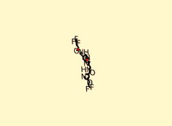 O=C(CCC(F)(F)F)NCc1cnn2cc(CNC(=O)c3cncc(OCC(F)F)c3)nc2c1